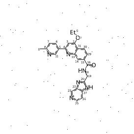 CCOc1cc(-c2ccc(C)nc2)nc2cc(C(=O)NCc3nc4cnccc4[nH]3)ccc12